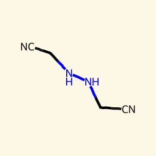 N#CCNNCC#N